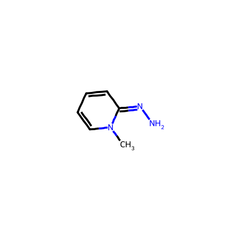 Cn1ccccc1=NN